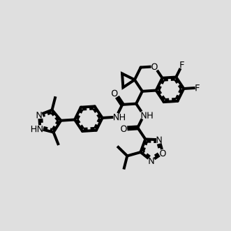 Cc1n[nH]c(C)c1-c1ccc(NC(=O)C(NC(=O)c2nonc2C(C)C)C2c3ccc(F)c(F)c3OCC23CC3)cc1